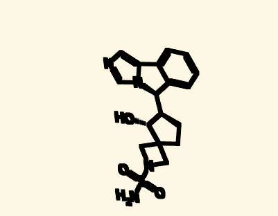 NS(=O)(=O)N1CC2(CC[C@H]([C@@H]3c4ccccc4-c4cncn43)[C@H]2O)C1